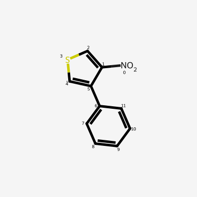 O=[N+]([O-])c1cs[c]c1-c1ccccc1